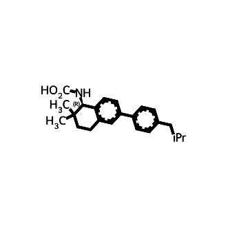 CC(C)Cc1ccc(-c2ccc3c(c2)CCC(C)(C)[C@H]3NC(=O)O)cc1